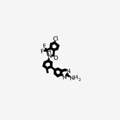 Cc1ccc(NC(=O)c2ccc(Cl)cc2C(F)(F)F)cc1-c1ccc2nc(N)ncc2c1